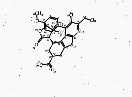 COc1ccc(-c2c(Cl)c(CCl)nc3sc4c(c23)C([C@H]2C(=O)OCC2(C)C)C[C@H](C(=O)O)C4)cc1